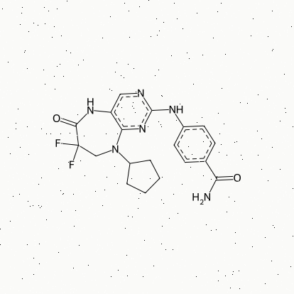 NC(=O)c1ccc(Nc2ncc3c(n2)N(C2CCCC2)CC(F)(F)C(=O)N3)cc1